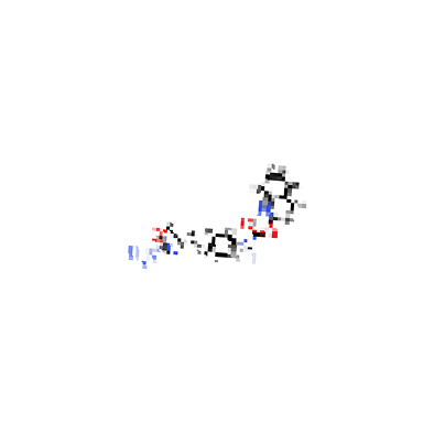 NC1=N[C@@H](CCc2ccc(NC(=O)Oc3ccc4ccccc4n3)cc2)CO1